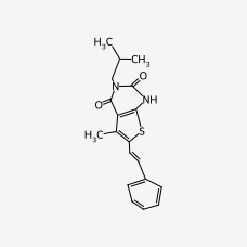 Cc1c(C=Cc2ccccc2)sc2[nH]c(=O)n(CC(C)C)c(=O)c12